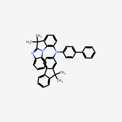 CC1(C)c2ccccc2-c2ccc(N(c3ccc(-c4ccccc4)cc3)c3cccc4c3-n3c(nc5ccccc53)C4(C)C)cc21